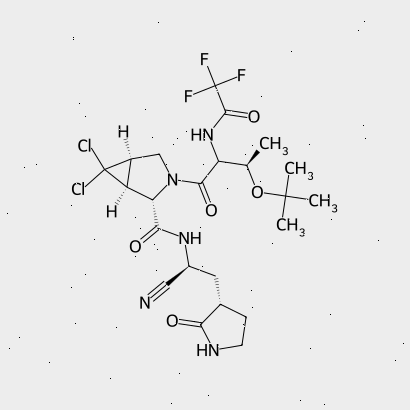 C[C@@H](OC(C)(C)C)C(NC(=O)C(F)(F)F)C(=O)N1C[C@H]2[C@@H]([C@H]1C(=O)N[C@H](C#N)C[C@@H]1CCNC1=O)C2(Cl)Cl